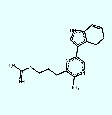 N=C(N)NCCCc1nc(-c2c[nH]c3c2CCC=C3)cnc1N